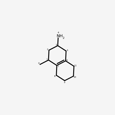 CC1CC(N)CC2=C1CCCC2